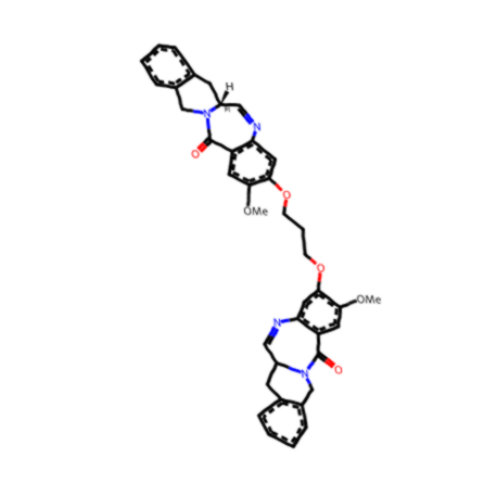 COc1cc2c(cc1OCCCOc1cc3c(cc1OC)C(=O)N1Cc4ccccc4C[C@@H]1C=N3)N=CC1Cc3ccccc3CN1C2=O